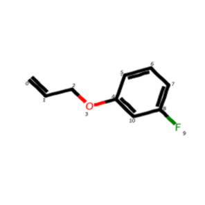 C=CCOc1[c]ccc(F)c1